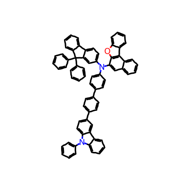 c1ccc(-n2c3ccccc3c3cc(-c4ccc(-c5ccc(N(c6ccc7c(c6)C(c6ccccc6)(c6ccccc6)c6ccccc6-7)c6cc7ccccc7c7c6oc6ccccc67)cc5)cc4)ccc32)cc1